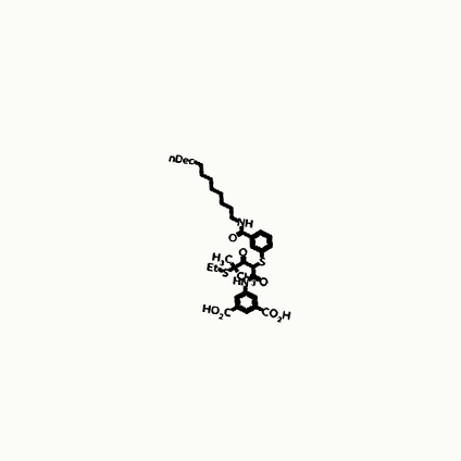 CCCCCCCCCCCCCCCCCCNC(=O)c1cccc(SC(C(=O)Nc2cc(C(=O)O)cc(C(=O)O)c2)C(=O)C(C)(C)SCC)c1